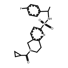 CC(NS(=O)(=O)c1ccc2c(n1)CCN(C(=O)C1CC1)C2)c1ccc(F)cc1